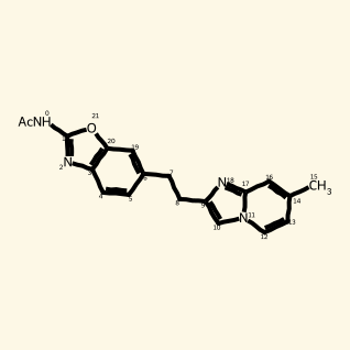 CC(=O)Nc1nc2ccc(CCc3cn4ccc(C)cc4n3)cc2o1